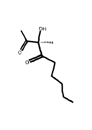 CCCCCC(=O)[C@](C)(O)C(C)=O